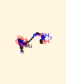 Cc1ncsc1-c1ccc(CNC(=O)[C@@H]2C[C@@H](O)CN2C(=O)[C@@H](NC(=O)CCCCCCCCCNCc2ccc(CCOc3cc(-c4ccccc4O)nnc3N)cc2)C(C)(C)C)cc1